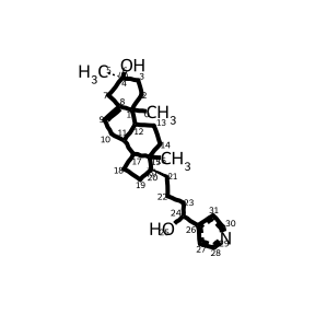 CC12CC[C@](C)(O)CC1=CCC1C2CCC2(C)C1CC[C@@H]2CCCC(O)c1ccncc1